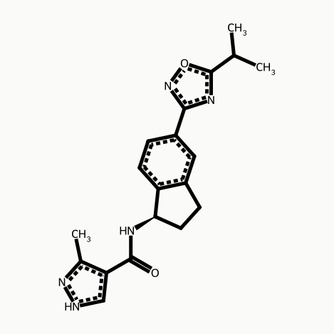 Cc1n[nH]cc1C(=O)N[C@@H]1CCc2cc(-c3noc(C(C)C)n3)ccc21